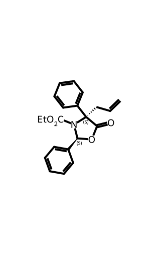 C=CC[C@]1(c2ccccc2)C(=O)O[C@@H](c2ccccc2)N1C(=O)OCC